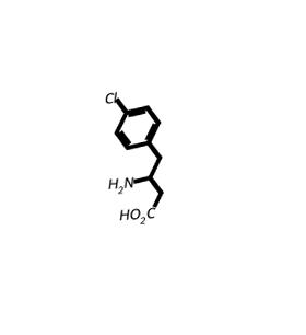 NC(CC(=O)O)Cc1ccc(Cl)cc1